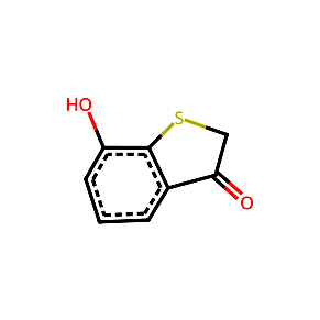 O=C1CSc2c(O)cccc21